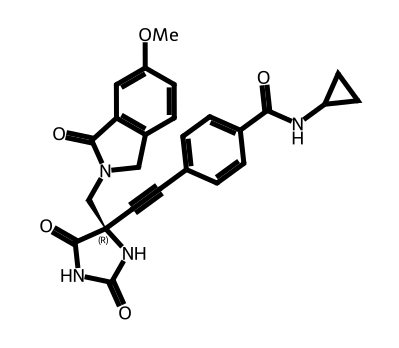 COc1ccc2c(c1)C(=O)N(C[C@@]1(C#Cc3ccc(C(=O)NC4CC4)cc3)NC(=O)NC1=O)C2